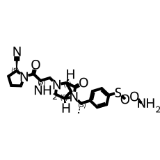 C[C@@H](c1ccc(SOON)cc1)N1C(=O)[C@@H]2C[C@H]1CN2C[C@H](N)C(=O)N1CCC[C@H]1C#N